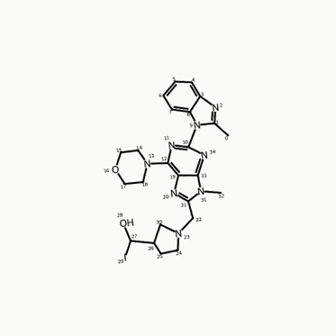 Cc1nc2ccccc2n1-c1nc(N2CCOCC2)c2nc(CN3CCC(C(O)I)C3)n(C)c2n1